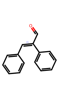 O=C/C(=C/c1ccccc1)c1ccccc1